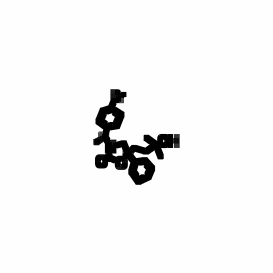 C[C@@H](c1ccc(Br)cc1)N1C[C@](CCC(C)(C)O)(c2ccccc2)OC1=O